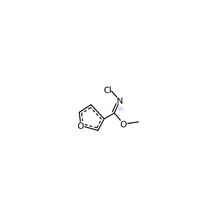 CO/C(=N/Cl)c1ccoc1